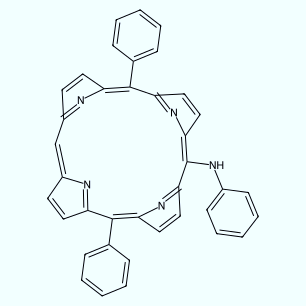 C1=CC2=NC1=CC1=NC(=C(c3ccccc3)C3=NC(=C(Nc4ccccc4)C4=NC(=C2c2ccccc2)C=C4)C=C3)C=C1